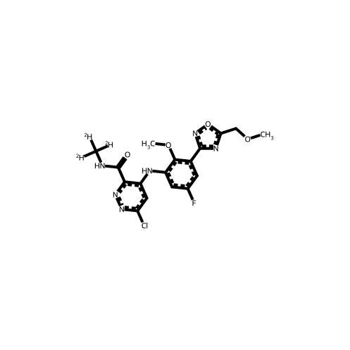 [2H]C([2H])([2H])NC(=O)c1nnc(Cl)cc1Nc1cc(F)cc(-c2noc(COC)n2)c1OC